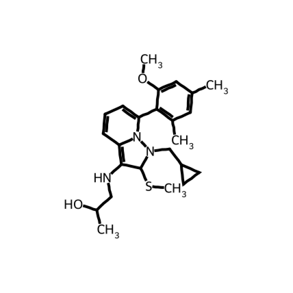 COc1cc(C)cc(C)c1C1=CC=CC2=C(NCC(C)O)C(SC)N(CC3CC3)N12